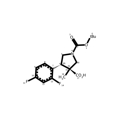 CC(C)(C)OC(=O)N1C[C@@H](c2ccc(F)cc2F)[C@](C)(C(=O)O)C1